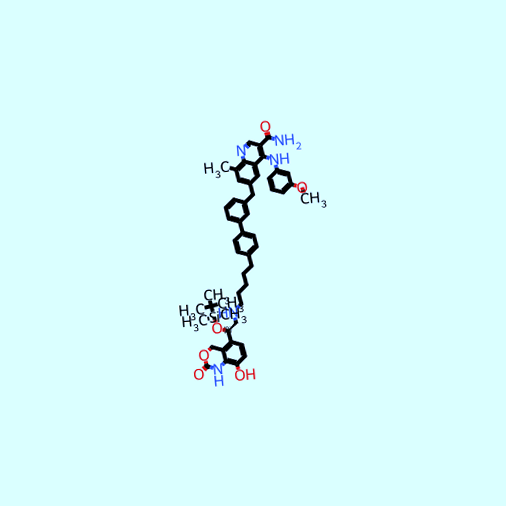 COc1cccc(Nc2c(C(N)=O)cnc3c(C)cc(Cc4cccc(-c5ccc(CCCCCNC[C@H](O[Si](C)(C)C(C)(C)C)c6ccc(O)c7c6COC(=O)N7)cc5)c4)cc23)c1